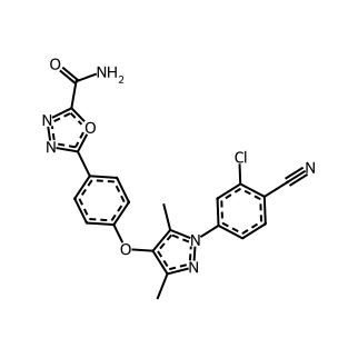 Cc1nn(-c2ccc(C#N)c(Cl)c2)c(C)c1Oc1ccc(-c2nnc(C(N)=O)o2)cc1